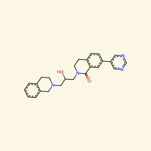 O=C1c2cc(-c3cncnc3)ccc2CCN1CC(O)CN1CCc2ccccc2C1